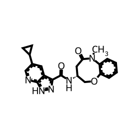 CN1C(=O)C[C@@H](NC(=O)c2n[nH]c3ncc(C4CC4)cc23)COc2ccccc21